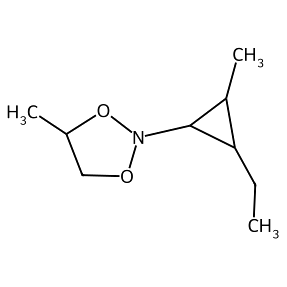 CCC1C(C)C1N1OCC(C)O1